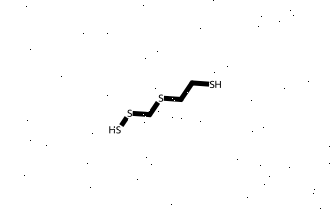 SCCSCSS